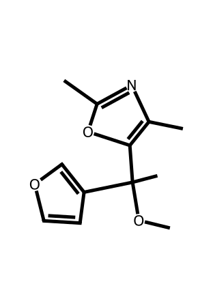 COC(C)(c1ccoc1)c1oc(C)nc1C